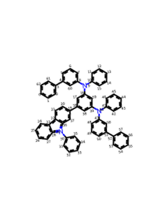 c1ccc(-c2cccc(N(c3ccccc3)c3cc(-c4ccc5c6ccccc6n(-c6ccccc6)c5c4)cc(N(c4ccccc4)c4cccc(-c5ccccc5)c4)c3)c2)cc1